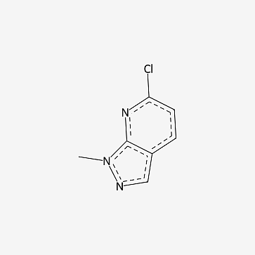 Cn1ncc2ccc(Cl)nc21